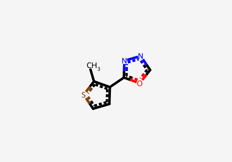 Cc1sccc1-c1nnco1